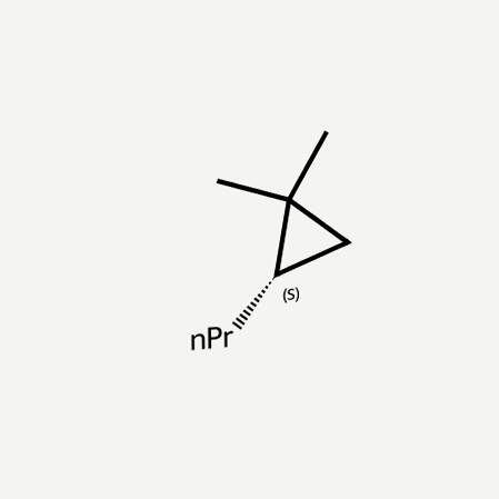 CCC[C@H]1CC1(C)C